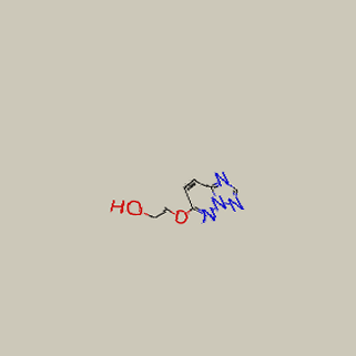 OCCOc1ccc2ncnn2n1